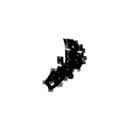 COc1cccc(C(=O)NC2CC3CCC(C2)N3c2ccc(C(=O)N[C@]3(C)CCNC3)cn2)c1C